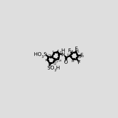 O=C(Nc1ccc2c(S(=O)(=O)O)cc(S(=O)(=O)O)cc2c1)c1cc(F)c(F)c(F)c1F